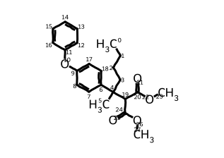 CCCCC(C)(c1ccc(Oc2ccccc2)cc1)C(C(=O)OC)C(=O)OC